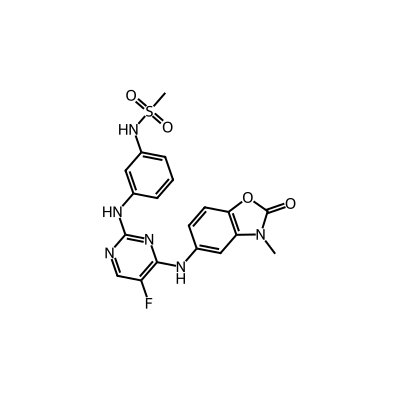 Cn1c(=O)oc2ccc(Nc3nc(Nc4cccc(NS(C)(=O)=O)c4)ncc3F)cc21